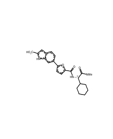 CNC(=O)[C@@H](NC(=O)c1ccc(-c2ccc3cc(C(=O)O)[nH]c3c2)o1)C1CCCCC1